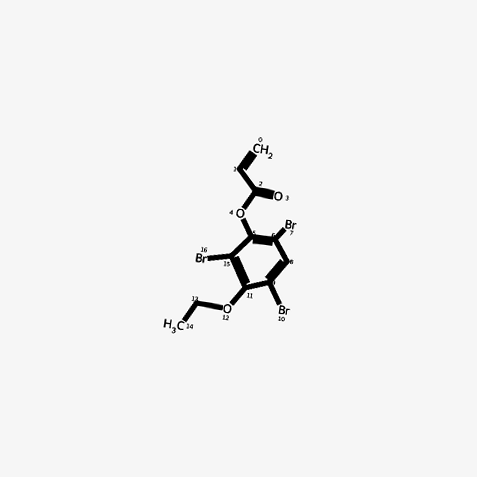 C=CC(=O)Oc1c(Br)cc(Br)c(OCC)c1Br